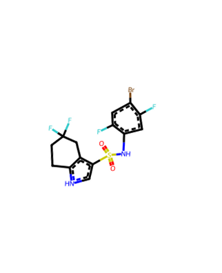 O=S(=O)(Nc1cc(F)c(Br)cc1F)c1c[nH]c2c1CC(F)(F)CC2